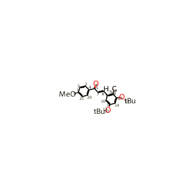 COc1ccc(C(=O)C=Cc2cc(OC(C)(C)C)cc(OC(C)(C)C)c2C)cc1